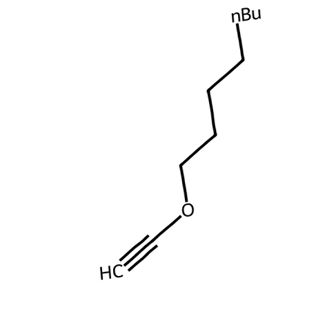 C#COCCCCCCCC